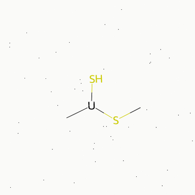 C[S][U]([CH3])[SH]